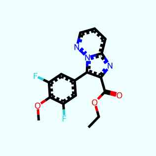 CCOC(=O)c1nc2cccnn2c1-c1cc(F)c(OC)c(F)c1